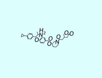 CC(N)[C@H](Oc1ccc(C(=O)OC2CCCN(C(=O)CC3COC(=O)C3)C2)cc1)c1ccc(C2CC2)cc1